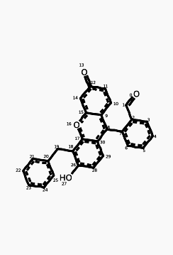 O=Cc1ccccc1-c1c2ccc(=O)cc-2oc2c(Cc3ccccc3)c(O)ccc12